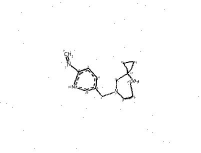 C=Nc1ccc(CN2CCNC3(CC3)C2)cn1